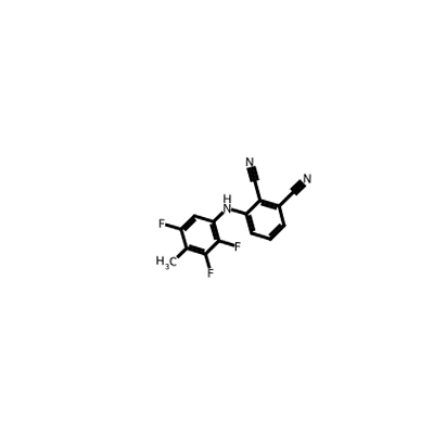 Cc1c(F)cc(Nc2cccc(C#N)c2C#N)c(F)c1F